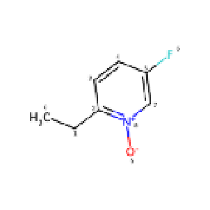 CCc1ccc(F)c[n+]1[O-]